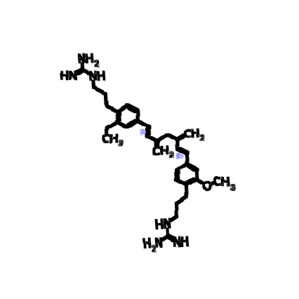 C=C(/C=C/c1ccc(CCCNC(=N)N)c(CC)c1)CC(=C)/C=C/c1ccc(CCCNC(=N)N)c(OC)c1